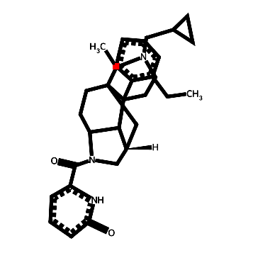 CCc1ccccc1C12CCN(CC3CC3)C(C)C13CCC1C2[C@@H](CN1C(=O)c1cccc(=O)[nH]1)C3